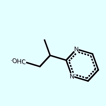 CC(C[C]=O)c1ncccn1